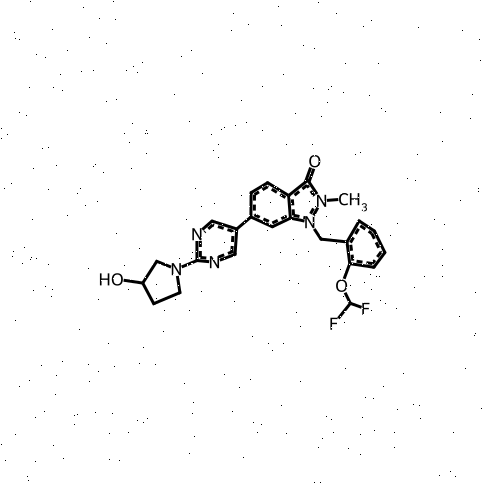 Cn1c(=O)c2ccc(-c3cnc(N4CCC(O)C4)nc3)cc2n1Cc1ccccc1OC(F)F